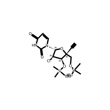 C#C[C@]1(CO[Si](C)(C)C(C)(C)C)O[C@@H](n2ccc(=O)[nH]c2=O)[C@H](Cl)[C@@H]1O[Si](C)(C)C(C)(C)C